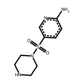 Nc1ccc(S(=O)(=O)N2CCNCC2)cn1